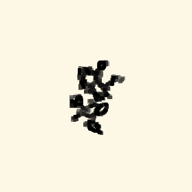 CC[C@H]1O[C@@H](n2cc(F)c3c(=O)[nH]cnc32)[C@H](O)[C@@H]1C